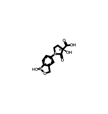 O=C(O)[C@@]1(O)CCN(c2ccc3c(c2)COB3O)C1=O